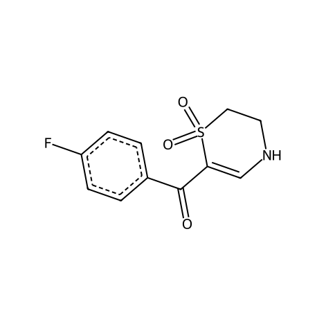 O=C(C1=CNCCS1(=O)=O)c1ccc(F)cc1